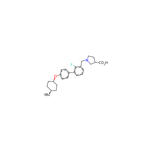 CC(C)(C)[C@H]1CC[C@@H](Oc2ccc(-c3cccc(CN4CCC(C(=O)O)C4)c3F)cc2)CC1